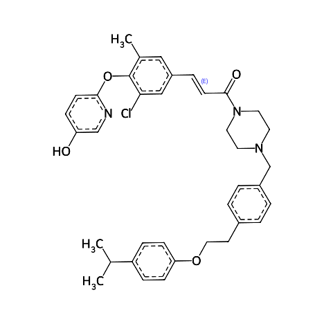 Cc1cc(/C=C/C(=O)N2CCN(Cc3ccc(CCOc4ccc(C(C)C)cc4)cc3)CC2)cc(Cl)c1Oc1ccc(O)cn1